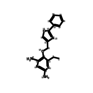 CCc1nc(N)nc(N)c1OCc1coc(-c2ccccc2)n1